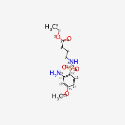 CCOC(=O)CCCNS(=O)(=O)c1ccc(OC)cc1N